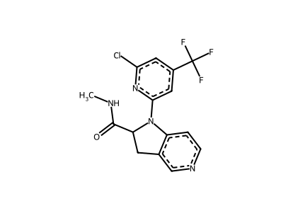 CNC(=O)C1Cc2cnccc2N1c1cc(C(F)(F)F)cc(Cl)n1